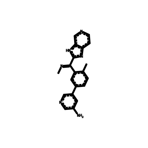 C/N=C(/c1nc2ccncc2[nH]1)c1cc(-c2cncc(N)c2)ccc1C